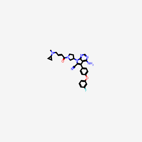 CN(CC=CC(=O)N1CCC(n2c(C#N)c(-c3ccc(Oc4cccc(F)c4)cc3)c3c(N)ncnc32)C1)C1CC1